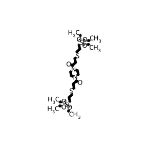 CCO[Si](CCCSCCC(=O)N1CCN(C(=O)CCSCCC[Si](OCC)(OCC)OCC)CC1)(OCC)OCC